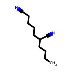 CCCCC(C#N)CCCCC#N